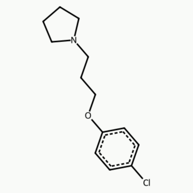 Clc1ccc(OCCCN2CCCC2)cc1